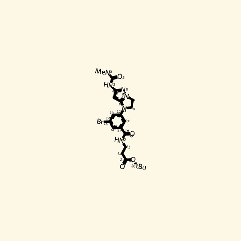 CNC(=O)Nc1cc2n(n1)CCN2c1cc(Br)cc(C(=O)NCCC(=O)OC(C)(C)C)c1